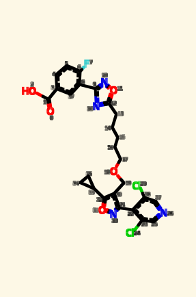 O=C(O)c1ccc(F)c(-c2noc(CCCCCOCc3c(-c4c(Cl)cncc4Cl)noc3C3CC3)n2)c1